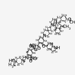 COc1ccc(CN2CCN(C3CC4(CCN(c5ccc(C(=O)NS(=O)(=O)c6ccc(NCC7(F)CCC(C)(O)CC7)c([N+](=O)[O-])c6)c(Oc6cnc7[nH]ccc7c6)c5)CC4)C3)[C@H](c3ccccc3C(C)C)C2)cc1